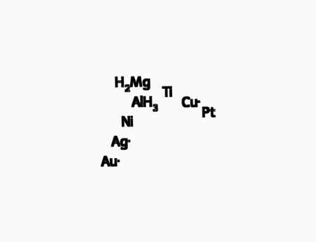 [Ag].[AlH3].[Au].[Cu].[MgH2].[Ni].[Pt].[Ti]